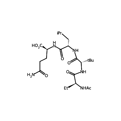 CC[C@H](NC(C)=O)C(=O)N[C@H](C(=O)N[C@@H](CC(C)C)C(=O)N[C@@H](CCC(N)=O)C(=O)O)C(C)(C)C